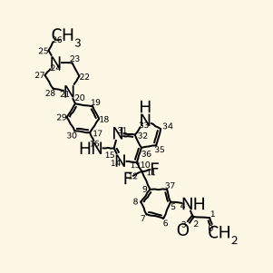 C=CC(=O)Nc1cccc(C(F)(F)c2nc(Nc3ccc(N4CCN(CC)CC4)cc3)nc3[nH]ccc23)c1